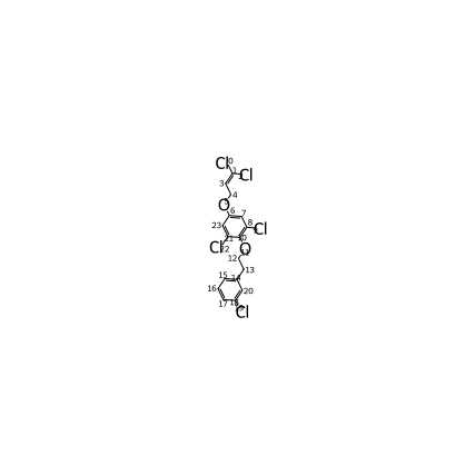 ClC(Cl)=CCOc1cc(Cl)c(OCCc2cccc(Cl)c2)c(Cl)c1